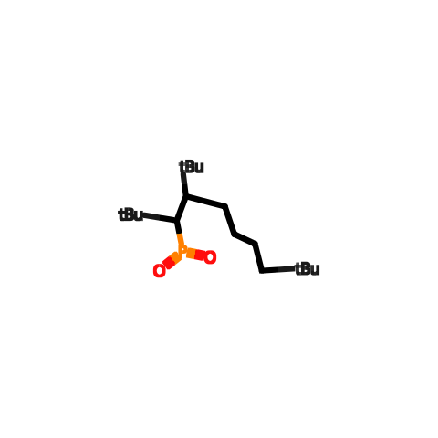 CC(C)(C)CCCCC(C(P(=O)=O)C(C)(C)C)C(C)(C)C